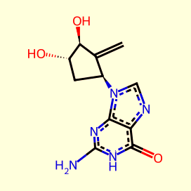 C=C1[C@H](O)[C@@H](O)C[C@@H]1n1cnc2c(=O)[nH]c(N)nc21